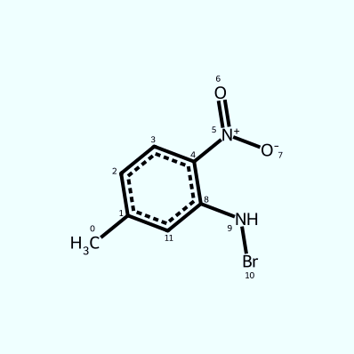 Cc1ccc([N+](=O)[O-])c(NBr)c1